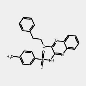 Cc1ccc(S(=O)(=O)Nc2nc3ccccc3nc2OCCc2ccccc2)cc1